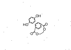 O=C1OCCOC(=O)c2ccc1cc2.Oc1ccc(O)cc1